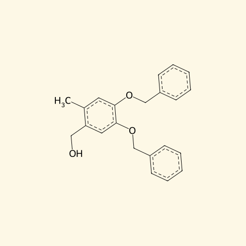 Cc1cc(OCc2ccccc2)c(OCc2ccccc2)cc1CO